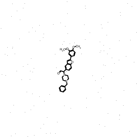 COc1ccc(-c2cc3cc(C(C=O)N4CCN(Cc5ccccc5)CC4)ccc3o2)cc1OC